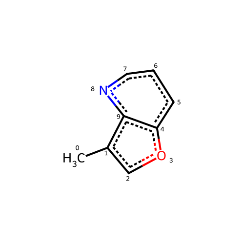 Cc1coc2cccnc12